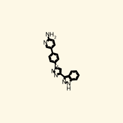 Nc1ccc(-c2ccc(-n3cc(-c4n[nH]c5ccccc45)nn3)cc2)cn1